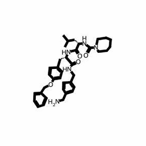 CC(C)C[C@H](NC(=O)N1CCCCCC1)C(=O)N[C@@H](Cc1ccc(OCc2ccccc2)cc1)C(=O)NCc1ccc(CN)cc1